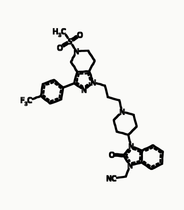 CS(=O)(=O)N1CCc2c(c(-c3ccc(C(F)(F)F)cc3)nn2CCCN2CCC(n3c(=O)n(CC#N)c4ccccc43)CC2)C1